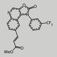 COC(=O)/C=C/c1ccc2ncc3oc(=O)n(-c4cccc(C(F)(F)F)c4)c3c2c1